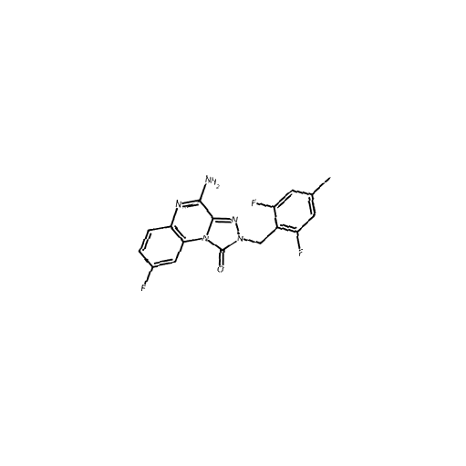 Cc1cc(F)c(Cn2nc3c(N)nc4ccc(F)cc4n3c2=O)c(F)c1